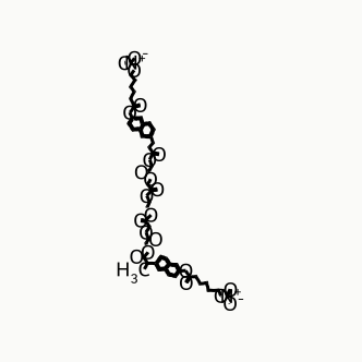 CC(C(=O)OCC(=O)OCC(=O)OCCOC(=O)COC(=O)COC(=O)CCc1ccc2cc(OC(=O)CCCCCO[N+](=O)[O-])ccc2c1)c1ccc2cc(OC(=O)CCCCCO[N+](=O)[O-])ccc2c1